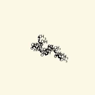 CSCC[C@H](NC(=O)[C@H](CCC(=O)O)NC(=O)CNC(=O)[C@@H]1CCCN1C(=O)[C@H](CS)NC(=O)[C@H](C)NC(=O)CNC(=O)[C@@H](N)CC(C)C)C(=O)O